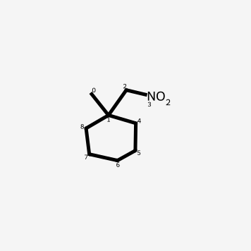 CC1(C[N+](=O)[O-])CCCCC1